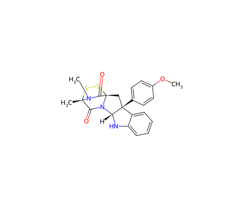 COc1ccc([C@]23C[C@@]45SS[C@@](C)(C(=O)N4[C@H]2Nc2ccccc23)N(C)C5=O)cc1